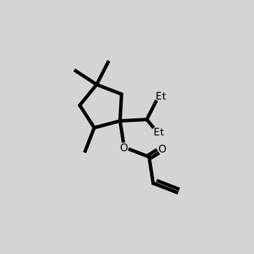 C=CC(=O)OC1(C(CC)CC)CC(C)(C)CC1C